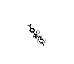 Cc1cnc([C@@H](C)NC(=O)Cc2ccc(C(C)C)cc2)cn1